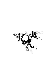 CCCCCCCC(=O)N[C@@H](CCN)C(=O)N(C)[C@@H]1C(=O)N[C@@H](C)C(=O)N[C@H](C(=O)NCC#N)Cc2ccc(OCCN)c(c2)-c2cc1ccc2OCCN